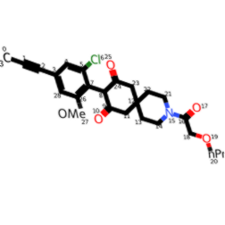 CC#Cc1cc(Cl)c(C2C(=O)CC3(CCN(C(=O)COCCC)CC3)CC2=O)c(OC)c1